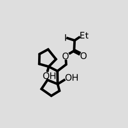 CCC(I)C(=O)OCC(C1(O)CCCC1)C1(O)CCCC1